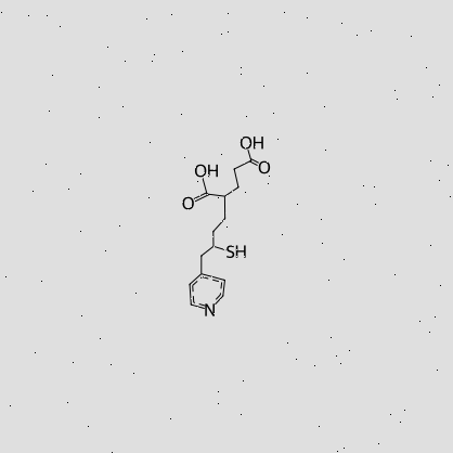 O=C(O)CCC(CCC(S)Cc1ccncc1)C(=O)O